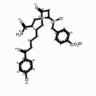 CCOC(=O)c1ccc(C[S+]([O-])C2CC(=O)[N+]2(CCCCCC(=O)c2ccc(Cl)cc2)CCC(N)=O)cc1